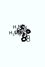 Cc1nnc(-c2c(N)ccnc2N[C@@H](C)c2cc3cccc(Cl)c3c(=O)n2-c2ccccc2)o1